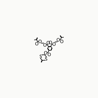 C=C1CSCC(OC(=O)c2ccc(C(=O)OCCOC(=O)C(=C)C)c(C(=O)OCCOC(=O)C(=C)C)c2)CSC1